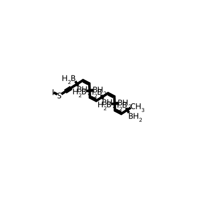 BC(B)(C)/C=C\C(B)(B)/C=C\C(B)(B)/C=C\C(B)(B)/C=C\C(B)(B)C#CSI